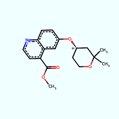 COC(=O)c1ccnc2ccc(O[C@@H]3CCOC(C)(C)C3)cc12